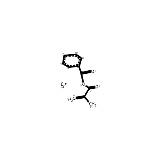 C=C(C)C(=O)OC(=O)c1ccccc1.[Cu]